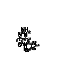 Cc1nc(N)nc2c1C(=O)N[C@@H](c1ncsc1Br)C2